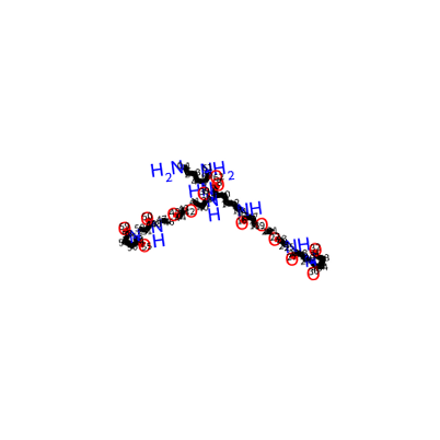 NCCCCC(NC(=O)C(CCCCNC(=O)CCOCCOCCNC(=O)CCN1C(=O)C=CC1=O)NC(=O)CCOCCOCCNC(=O)CCN1C(=O)C=CC1=O)C(N)=O